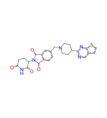 O=C1CCC(N2C(=O)c3ccc(CN4CCC(c5ncc6ccsc6n5)CC4)cc3C2=O)C(=O)N1